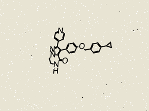 O=C1NCCn2nc(-c3ccncc3)c(-c3ccc(OCc4ccc(C5CC5)cc4)cc3)c21